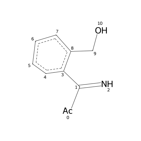 CC(=O)C(=N)c1ccccc1CO